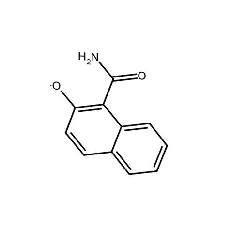 NC(=O)c1c([O])ccc2ccccc12